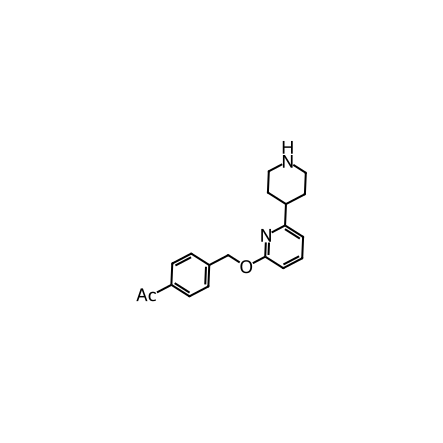 CC(=O)c1ccc(COc2cccc(C3CCNCC3)n2)cc1